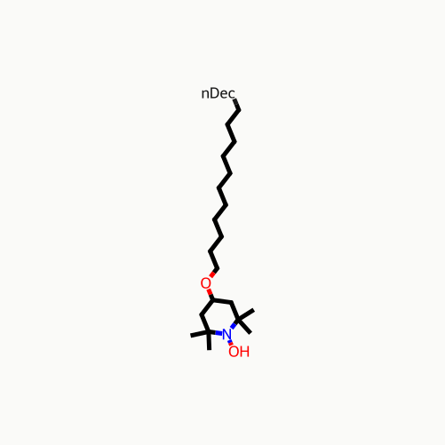 CCCCCCCCCCCCCCCCCCCCCOC1CC(C)(C)N(O)C(C)(C)C1